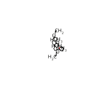 C=CCO[C@H]1CC[C@@]2(C)[C@H](CC[C@@H]3[C@@H]2CC[C@]2(C)[C@@](OCC=C)(c4ccccc4)CC[C@]32O)C1